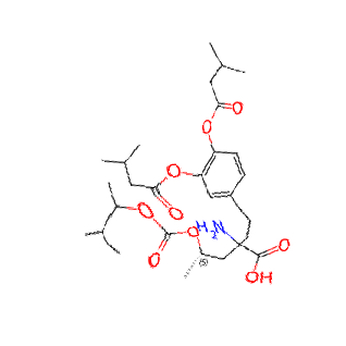 CC(C)CC(=O)Oc1ccc(CC(N)(C[C@H](C)OC(=O)OC(C)C(C)C)C(=O)O)cc1OC(=O)CC(C)C